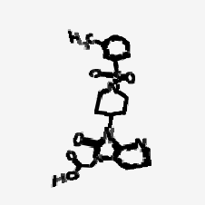 Cc1cccc(S(=O)(=O)N2CCC(n3c(=O)n(CC(=O)O)c4cccnc43)CC2)c1